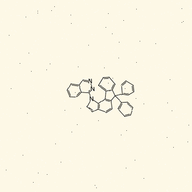 c1ccc(C2(c3ccccc3)c3ccccc3-c3c2ccc2ccn(-c4nncc5ccccc45)c32)cc1